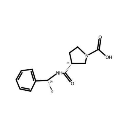 C[C@@H](NC(=O)[C@@H]1CCN(C(=O)O)C1)c1ccccc1